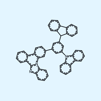 c1ccc2c(c1)-c1ccccc1C2c1cc(-c2ccc3c4ccccc4c4nc5ccccc5n4c3c2)cc(-n2c3ccccc3c3ccccc32)c1